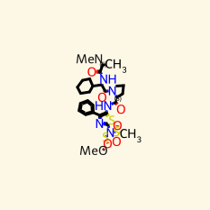 CN[C@@H](C)C(=O)NC(C(=O)N1CCC[C@H]1C(=O)Nc1sc(N(SOOC)S(C)(=O)=O)nc1-c1ccccc1)C1CCCCC1